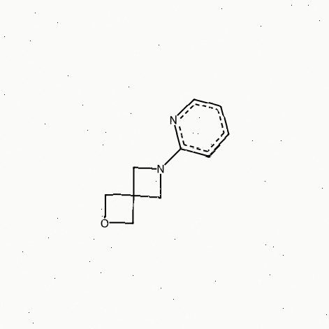 c1ccc(N2CC3(COC3)C2)nc1